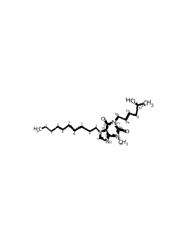 CCCCCCCCCCn1cnc2c1c(=O)n(CCCCC(C)O)c(=O)n2C